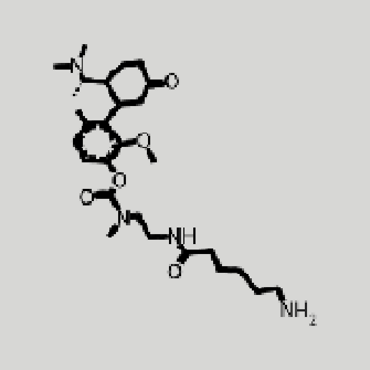 COc1c(OC(=O)N(C)CCNC(=O)CCCCCN)ccc(C)c1C1CC(=O)CCC1[C@H](C)N(C)C